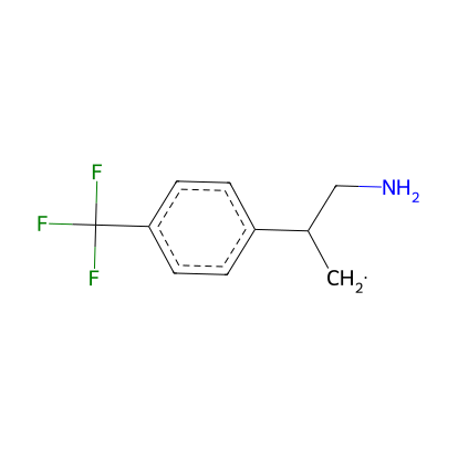 [CH2]C(CN)c1ccc(C(F)(F)F)cc1